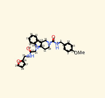 COc1ccc(CNC(=O)N2CCc3c(c4ccccc4n3CC(=O)NCc3ccco3)C2)cc1